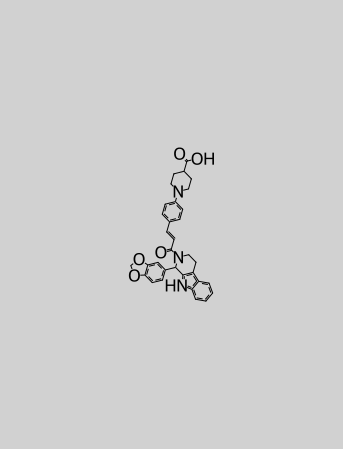 O=C(O)C1CCN(c2ccc(/C=C/C(=O)N3CCc4c([nH]c5ccccc45)C3c3ccc4c(c3)OCO4)cc2)CC1